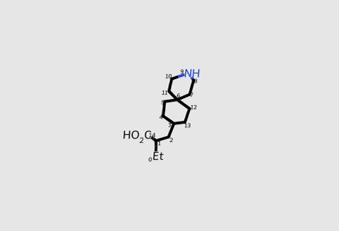 CCC(CC1CCC2(CCNCC2)CC1)C(=O)O